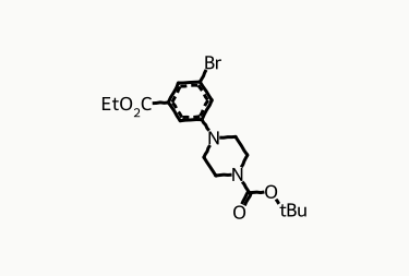 CCOC(=O)c1cc(Br)cc(N2CCN(C(=O)OC(C)(C)C)CC2)c1